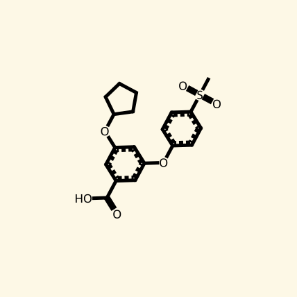 CS(=O)(=O)c1ccc(Oc2cc(OC3CCCC3)cc(C(=O)O)c2)cc1